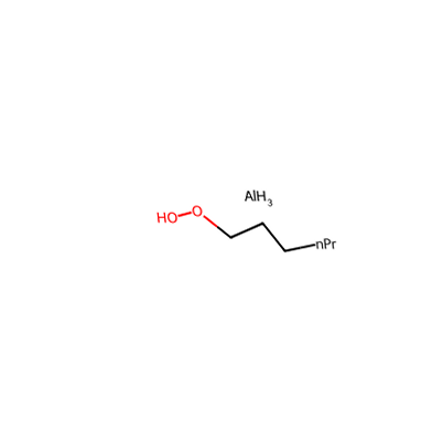 CCCCCCOO.[AlH3]